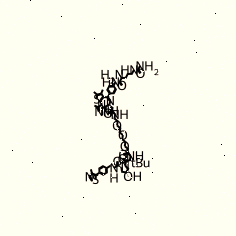 CC(=N)N1C(=N)[C@H](CC(=O)NCCOCCOCCOCC(=O)N[C@H](C(=O)N2C[C@H](O)C[C@H]2C(=O)NCc2ccc(-c3scnc3C)cc2)C(C)(C)C)N=C(c2ccc(NC(=O)[C@@H](N)CCCNC(N)=O)cc2)c2c1sc(C)c2C